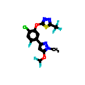 Cn1nc(-c2cc(Oc3nnc(C(F)(F)F)s3)c(Cl)cc2F)cc1OC(F)F